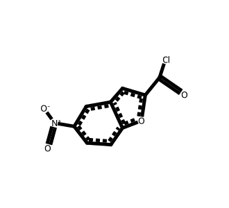 O=C(Cl)c1cc2cc([N+](=O)[O-])ccc2o1